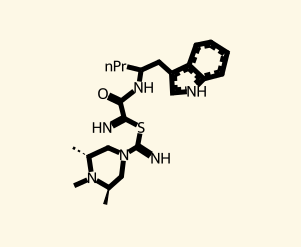 CCCC(Cc1c[nH]c2ccccc12)NC(=O)C(=N)SC(=N)N1C[C@@H](C)N(C)[C@H](C)C1